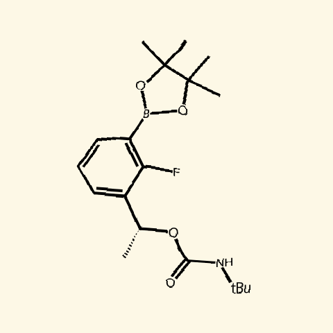 C[C@@H](OC(=O)NC(C)(C)C)c1cccc(B2OC(C)(C)C(C)(C)O2)c1F